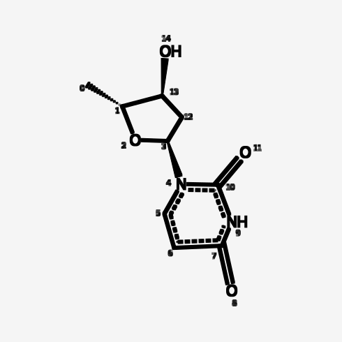 C[C@H]1O[C@H](n2ccc(=O)[nH]c2=O)C[C@@H]1O